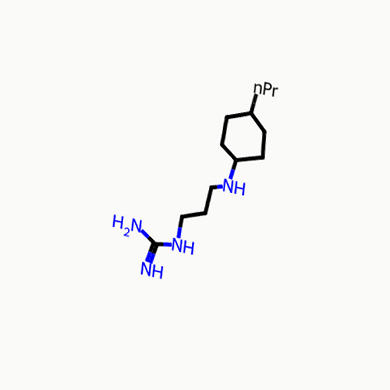 CCCC1CCC(NCCCNC(=N)N)CC1